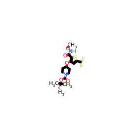 CONC(=O)c1sc(C(F)F)cc1OC1CCN(C(=O)OC(C)(C)C)CC1